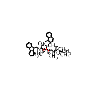 CCOC(OCC)[C@H](C)N(Cc1cccc2ccccc12)C(=O)C(CCCCNC(=O)OC(C)(C)C)NCC1c2ccccc2-c2ccccc21